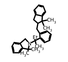 CCC(C)(c1ccccc1CC1Cc2ccccc2C1(C)C)N1Cc2ccccc2C1(C)C